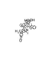 CC(C)(C=C(C#N)C(=O)N1CCCC1COC(=O)N[C@@H](Cc1coc2ccccc12)B(O)O)N1CCN(C2COC2)CC1